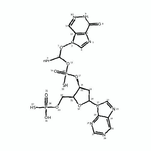 CCCC(On1cnc2c(=O)[nH]ncc21)OP(=O)(S)O[C@H]1CC(n2cnc3cncnc32)OC1COP(=O)(O)S